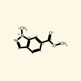 COC(=O)c1c[c]c2cnn(C)c2c1